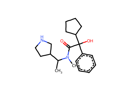 CC(C1CCNC1)N(C)C(=O)C(O)(c1ccccc1)C1CCCC1